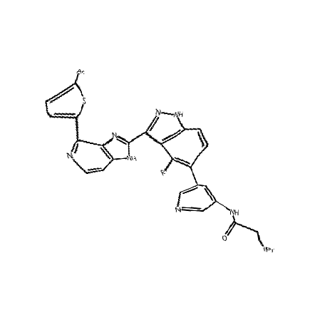 CC(=O)c1ccc(-c2nccc3[nH]c(-c4n[nH]c5ccc(-c6cncc(NC(=O)CC(C)C)c6)c(F)c45)nc23)s1